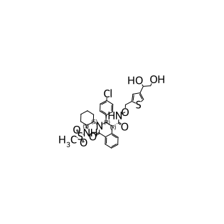 CS(=O)(=O)N[C@H]1CCCC[C@@H]1N1C(=O)c2ccccc2[C@@H](C(=O)NOCc2cc(C(O)CO)cs2)[C@@H]1c1ccc(Cl)cc1